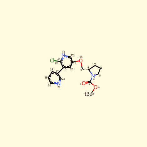 CC(C)(C)OC(=O)N1CCC[C@H]1COc1cnc(Cl)c(-c2cccnc2)c1